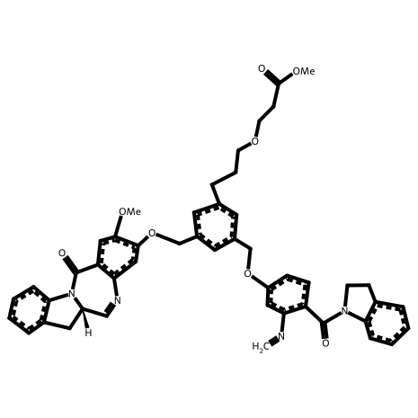 C=Nc1cc(OCc2cc(CCCOCCC(=O)OC)cc(COc3cc4c(cc3OC)C(=O)N3c5ccccc5C[C@H]3C=N4)c2)ccc1C(=O)N1CCc2ccccc21